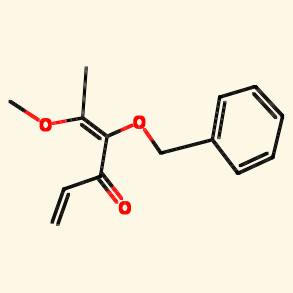 C=CC(=O)/C(OCc1ccccc1)=C(/C)OC